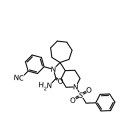 N#Cc1cccc(N(C(N)=O)C2(C3CCN(S(=O)(=O)Cc4ccccc4)CC3)CCCCCC2)c1